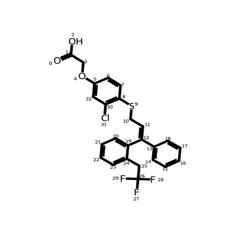 O=C(O)COc1ccc(SCC=C(c2ccccc2)c2ccccc2CC(F)(F)F)c(Cl)c1